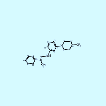 OC(CNc1cc(N2CCC(C(F)(F)F)CC2)ncn1)c1ccccc1